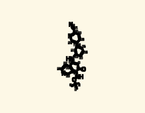 CC(C)(C)ONn1c(=O)cc(Nc2cccc(-c3ccc(C#N)nc3)c2)c2ccncc21